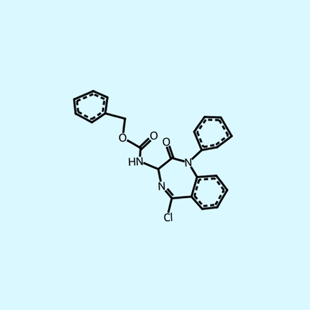 O=C(NC1N=C(Cl)c2ccccc2N(c2ccccc2)C1=O)OCc1ccccc1